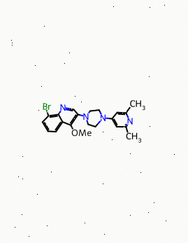 COc1c(N2CCN(c3cc(C)nc(C)c3)CC2)cnc2c(Br)cccc12